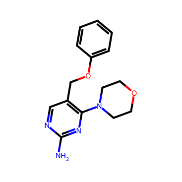 Nc1ncc(COc2ccccc2)c(N2CCOCC2)n1